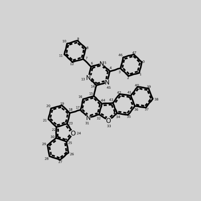 c1ccc(-c2nc(-c3ccccc3)nc(-c3cc(-c4cccc5c4oc4ccccc45)nc4oc5cc6ccccc6cc5c34)n2)cc1